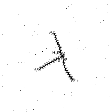 C=C(CCCCCCCCCCCCCCCC)C1=NC(COC(=O)CCCCCCCCCCCCCCCCC)(COC(=O)CCCCCCCCCCCCCCCCC)CO1